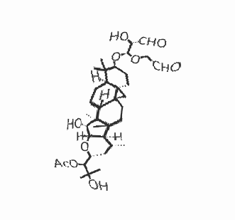 CC(=O)O[C@@H]([C@H]1C[C@@H](C)[C@H]2[C@H](O1)[C@H](O)[C@@]1(C)[C@@H]3CC[C@H]4C(C)(C)[C@@H](O[C@H](OCC=O)[C@H](O)C=O)CC[C@@]45C[C@@]35CC[C@]21C)C(C)(C)O